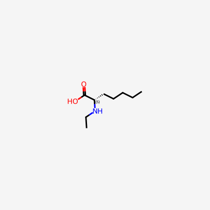 CCCCC[C@H](NCC)C(=O)O